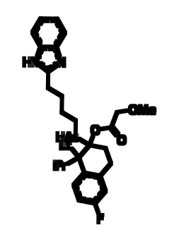 CCC1(C(C)C)c2ccc(F)cc2CCC1(OC(=O)COC)[AsH]CCCCc1nc2ccccc2[nH]1